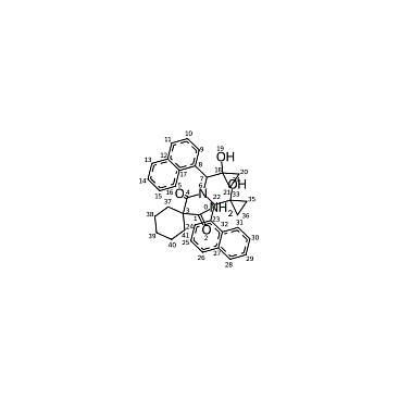 NC(=O)C1(C(=O)N(C(c2cccc3ccccc23)C2(O)CC2)C(c2cccc3ccccc23)C2(O)CC2)CCCCC1